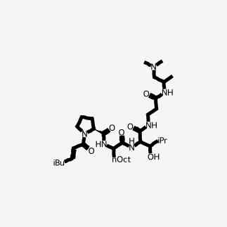 CCCCCCCCC(NC(=O)[C@@H]1CCCN1C(=O)/C=C/C(C)CC)C(=O)NC(C(=O)NCCC(=O)NC(C)CN(C)C)C(O)C(C)C